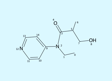 CCN(C(=O)C(C)CO)c1ccncc1